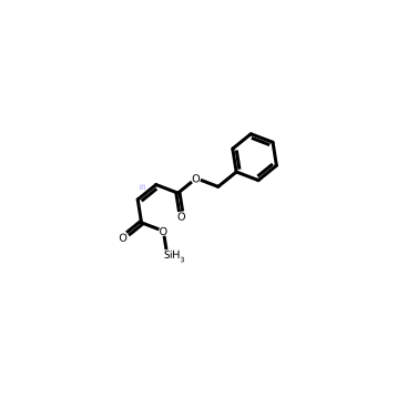 O=C(/C=C\C(=O)OCc1ccccc1)O[SiH3]